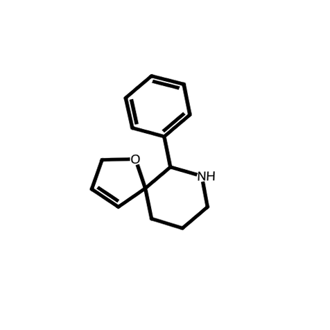 C1=CC2(CCCNC2c2ccccc2)OC1